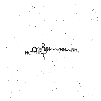 CCCC(=O)N[C@H](Cc1ccc(O)cc1)C(=O)NCCCCCCCCNCCCN